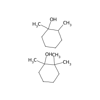 CC1(C)CCCCC1(C)O.CC1CCCCC1(C)O